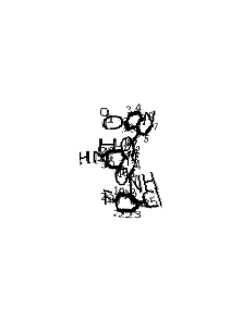 COc1ccc2nccc([C@@H](O)CN(CC(=O)Nc3cc(F)ccc3Cl)C3CCNCC3)c2c1